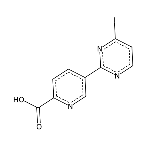 O=C(O)c1ccc(-c2nccc(I)n2)cn1